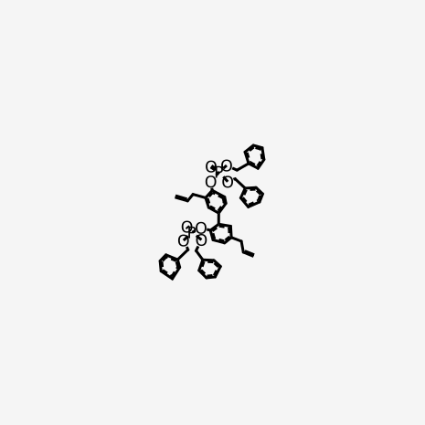 C=CCc1ccc(OP(=O)(OCc2ccccc2)OCc2ccccc2)c(-c2ccc(OP(=O)(OCc3ccccc3)OCc3ccccc3)c(CC=C)c2)c1